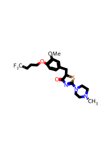 COc1cc(CC2SC(N3CCN(C)CC3)=NC2=O)ccc1OCCCC(F)(F)F